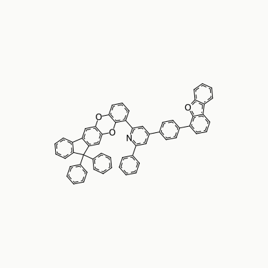 c1ccc(-c2cc(-c3ccc(-c4cccc5c4oc4ccccc45)cc3)cc(-c3cccc4c3Oc3cc5c(cc3O4)-c3ccccc3C5(c3ccccc3)c3ccccc3)n2)cc1